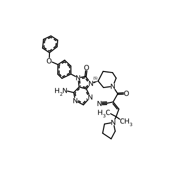 CC(C)(C=C(C#N)C(=O)N1CCC[C@H](n2c(=O)n(-c3ccc(Oc4ccccc4)cc3)c3c(N)ncnc32)C1)N1CCCC1